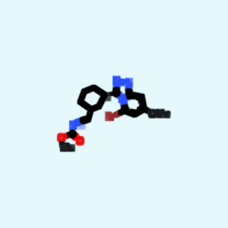 COc1cc(Br)n2c([C@H]3CCCC(/C=N/C(=O)OC(C)(C)C)C3)nnc2c1